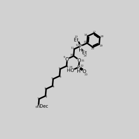 CCCCCCCCCCCCCCCCCCOC(C[PH](CC)(CC)c1ccccc1)O[PH](=O)O